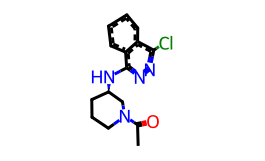 CC(=O)N1CCC[C@@H](Nc2nnc(Cl)c3ccccc23)C1